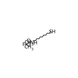 CC(C)(F)OC(=O)NCCCCCCCCCCS